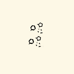 CC(C)S(=O)(=O)NC1CCCC1Oc1ccc(Br)cc1.CC(C)S(=O)(=O)NC1CCCC1Oc1ccc(Br)cc1